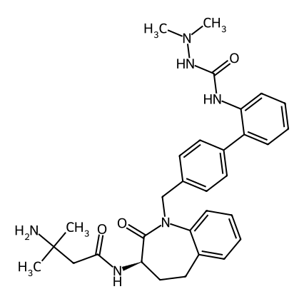 CN(C)NC(=O)Nc1ccccc1-c1ccc(CN2C(=O)[C@H](NC(=O)CC(C)(C)N)CCc3ccccc32)cc1